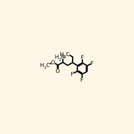 CCC(CC(N)C(=O)OC)c1c(F)c(F)cc(F)c1F